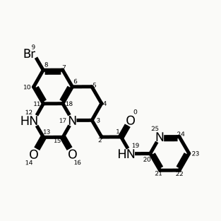 O=C(CC1CCc2cc(Br)cc3[nH]c(=O)c(=O)n1c23)Nc1ccccn1